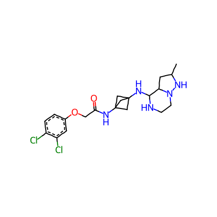 CC1CC2C(NC34CC(NC(=O)COc5ccc(Cl)c(Cl)c5)(C3)C4)NCCN2N1